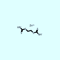 [NH-]C(=S)SCCSC([NH-])=S.[Zn+2]